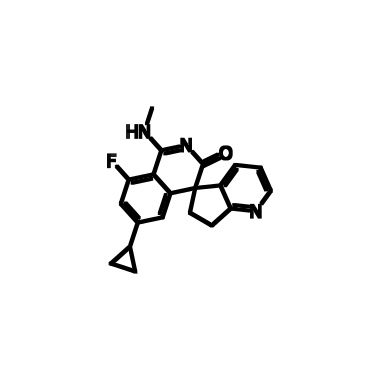 CNC1=NC(=O)C2(CCc3ncccc32)c2cc(C3CC3)cc(F)c21